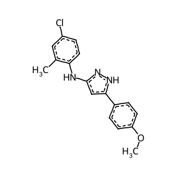 COc1ccc(-c2cc(Nc3ccc(Cl)cc3C)n[nH]2)cc1